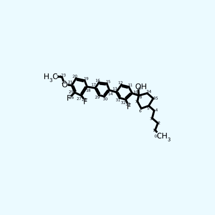 CCCCCC1CCC(O)(c2ccc(-c3ccc(-c4ccc(OCC)c(F)c4F)cc3)cc2F)CC1